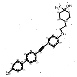 CC1(O)CCN(CCOc2ccc(C#Cc3ccc(-c4ccc(Cl)cc4)cn3)cc2)CC1